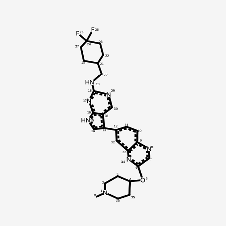 CN1CCC(Oc2cnc3ccc(-c4c[nH]c5nc(NCC6CCC(F)(F)CC6)ncc45)cc3n2)CC1